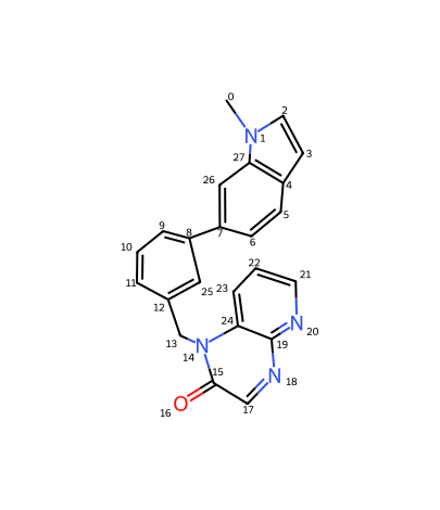 Cn1ccc2ccc(-c3cccc(Cn4c(=O)cnc5ncccc54)c3)cc21